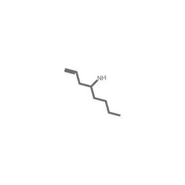 C=CCC([NH])CCCC